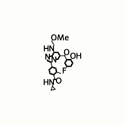 COCCNc1cc(C(=O)c2cc(F)ccc2O)cn2c(-c3ccc(C(=O)NC4CC4)c(C)c3)cnc12